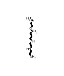 COCCO[SiH2]CCCNCCNCCN